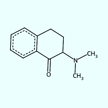 CN(C)C1CCc2ccccc2C1=O